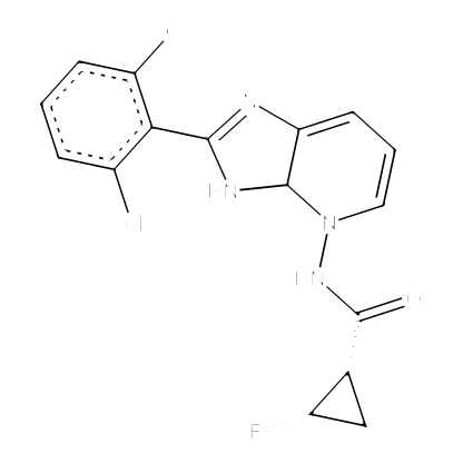 O=C(NN1C=CC=C2N=C(c3c(Cl)cccc3Cl)NC21)[C@@H]1C[C@@H]1F